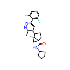 Cc1nnc(-c2c(F)cccc2F)cc1[C@H]1CC[C@@]2(C(=O)NC3CCCC3)CC12C